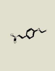 O=[N+]([O-])C=Cc1ccc(OCI)cc1